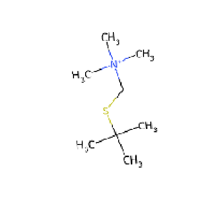 CC(C)(C)SC[N+](C)(C)C